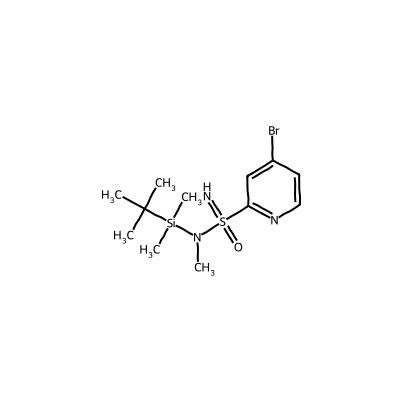 CN([Si](C)(C)C(C)(C)C)S(=N)(=O)c1cc(Br)ccn1